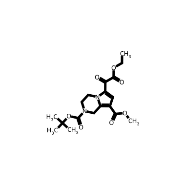 CCOC(=O)C(=O)c1cc(C(=O)OC)c2n1CCN(C(=O)OC(C)(C)C)C2